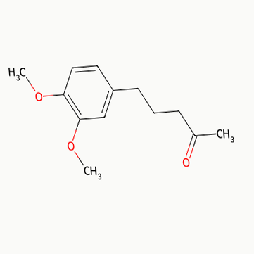 COc1ccc(CCCC(C)=O)cc1OC